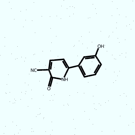 N#Cc1ccc(-c2cccc(O)c2)[nH]c1=O